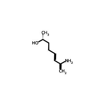 C=C(N)/C=C/CC[C@@H](C)O